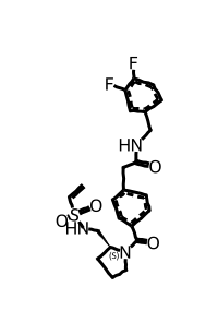 C=CS(=O)(=O)NC[C@@H]1CCCN1C(=O)c1ccc(CC(=O)NCc2ccc(F)c(F)c2)cc1